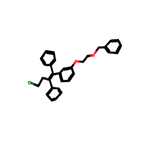 ClCC/C(=C(\c1ccccc1)c1cccc(OCCOCc2ccccc2)c1)c1ccccc1